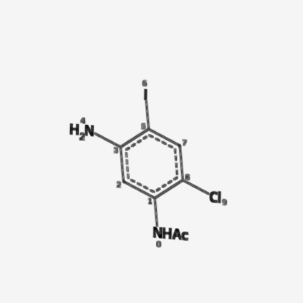 CC(=O)Nc1cc(N)c(I)cc1Cl